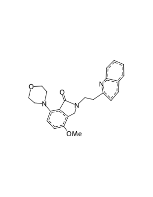 COc1ccc(N2CCOCC2)c2c1CN(CCc1ccc3ccccc3n1)C2=O